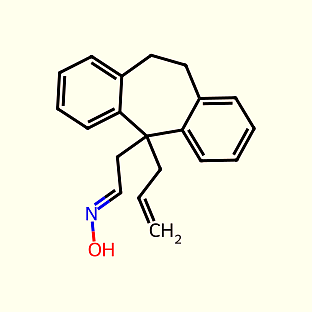 C=CCC1(C/C=N/O)c2ccccc2CCc2ccccc21